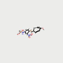 COc1ccc(CSc2ccc(NS(C)(=O)=O)cc2[N+](=O)[O-])cc1